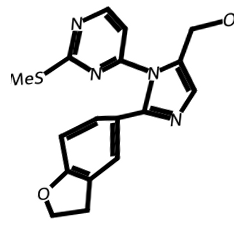 CSc1nccc(-n2c(CO)cnc2-c2ccc3c(c2)CCO3)n1